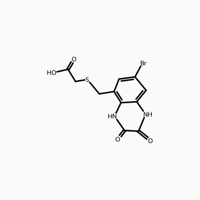 O=C(O)CSCc1cc(Br)cc2[nH]c(=O)c(=O)[nH]c12